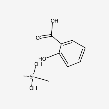 C[Si](C)(O)O.O=C(O)c1ccccc1O